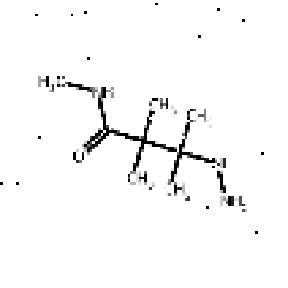 CNC(=O)C(C)(C)C(C)(C)NN